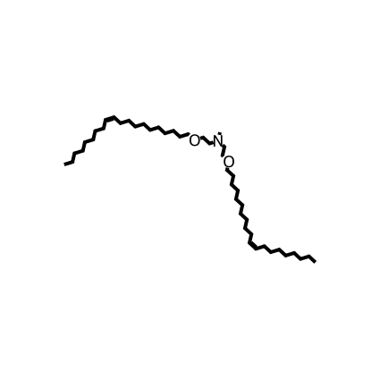 CCCCCCCC/C=C\CCCCCCCCCCOCCN(C)CCOCCCCCCCCCC/C=C\CCCCCCCC